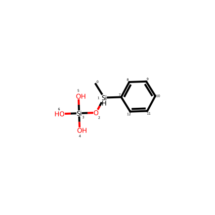 C[SiH](O[Si](O)(O)O)c1ccccc1